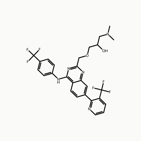 CN(C)CC(O)COCc1nc(Nc2ccc(C(F)(F)F)cc2)c2ccc(-c3ncccc3C(F)(F)F)cc2n1